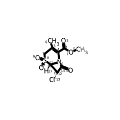 COC(=O)C1=C(C)CS(=O)(=O)[C@@H]2[C@@H](Cl)C(=O)N12